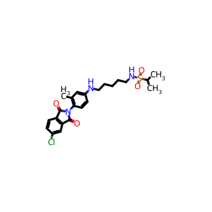 Cc1cc(NCCCCCNS(=O)(=O)C(C)C)ccc1N1C(=O)c2ccc(Cl)cc2C1=O